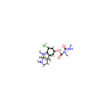 CNC(=O)N(C)C(=O)Oc1cc(Br)c2c(c1)[C@]1(C)CCN(C)[C@H]1N2C